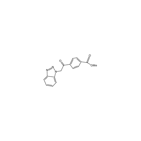 COC(=O)c1ccc(C(=O)Cn2nnc3ccccc32)cc1